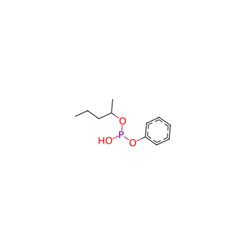 CCCC(C)OP(O)Oc1ccccc1